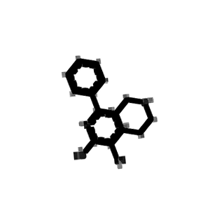 N#Cc1c(O)nc(-c2ccccc2)c2c1CCOC2